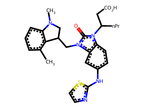 CCCC(CC(=O)O)n1c(=O)n(CC2CN(C)c3cccc(C)c32)c2cc(Nc3nccs3)ccc21